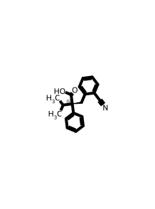 CC(C)[C@](Cc1ccccc1C#N)(C(=O)O)c1ccccc1